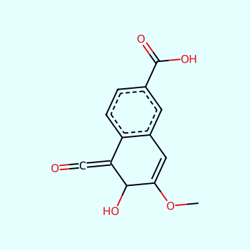 COC1=Cc2cc(C(=O)O)ccc2C(=C=O)C1O